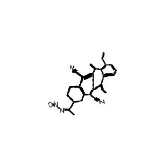 C=c1c2cccc(CC)c2c(=C)c2c(C#N)c3c(c(C#N)c12)CC(/C(C)=N\N=O)CC3